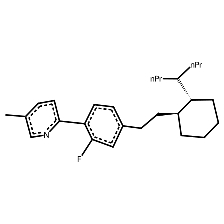 CCCC(CCC)[C@@H]1CCCC[C@H]1CCc1ccc(-c2ccc(C)cn2)c(F)c1